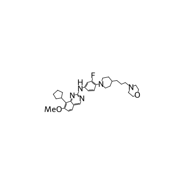 COc1ccc2cnc(Nc3ccc(N4CCC(CCCN5CCOCC5)CC4)c(F)c3)nc2c1C1CCCC1